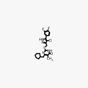 Cc1c(CC2CCCCC2)nc(SCc2n[nH]c(-c3ccc(F)c(F)c3)c2Cl)[nH]c1=O